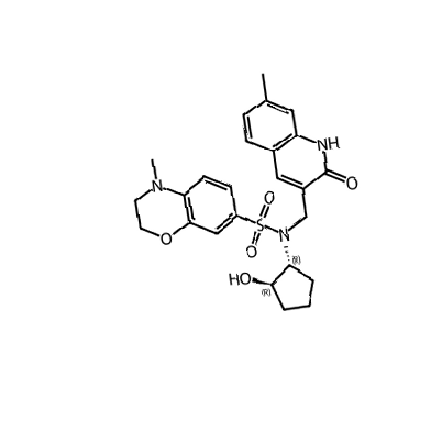 Cc1ccc2cc(CN([C@@H]3CCC[C@H]3O)S(=O)(=O)c3ccc4c(c3)OCCN4C)c(=O)[nH]c2c1